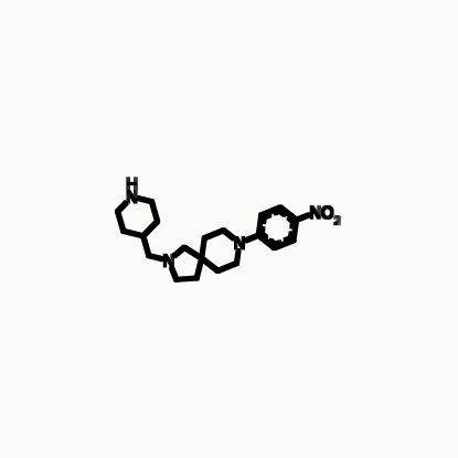 O=[N+]([O-])c1ccc(N2CCC3(CCN(CC4CCNCC4)C3)CC2)cc1